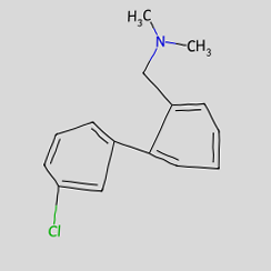 CN(C)Cc1ccccc1-c1cccc(Cl)c1